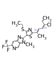 C=C/C(Cl)=C\C=C(/C)c1nc(SCC)c(-c2nc3cc(C(F)(F)F)ncc3n2C)s1